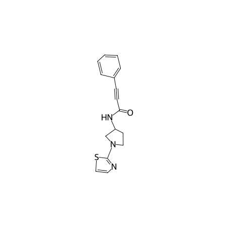 O=C(C#Cc1ccccc1)NC1CCN(c2nccs2)C1